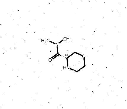 CN(C)C(=O)[C@@H]1COCCN1